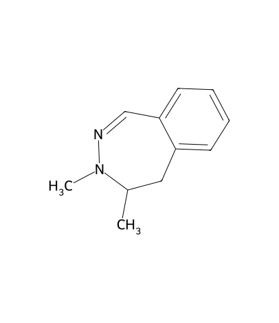 CC1Cc2ccccc2C=NN1C